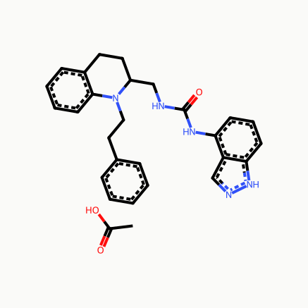 CC(=O)O.O=C(NCC1CCc2ccccc2N1CCc1ccccc1)Nc1cccc2[nH]ncc12